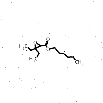 CCCCCCOC(=O)C1OC1(CC)CC